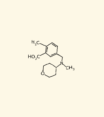 Cc1ccc(CN(C)C2CCOCC2)cc1C(=O)O